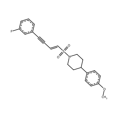 COc1ccc(C2CCN(S(=O)(=O)C=CC#Cc3cccc(F)c3)CC2)cc1